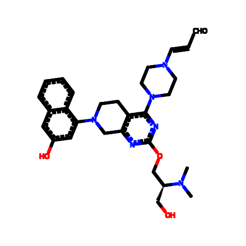 CN(C)[C@H](CO)COc1nc2c(c(N3CCN(C=CC=O)CC3)n1)CCN(c1cc(O)cc3ccccc13)C2